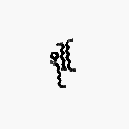 C1CCSC1.C=CCCCCCC=O.O=CCCCCCCC=O.O=CCCCCCCCC=O